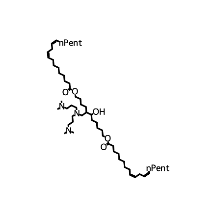 CCCCC/C=C\C/C=C\CCCCCCCC(=O)OCCCCCC(O)C(CCCCOC(=O)CCCCCCC/C=C\C/C=C\CCCCC)CN(CCCN(C)C)CCCN(C)C